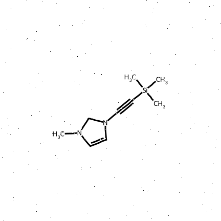 CN1C=CN(C#C[Si](C)(C)C)C1